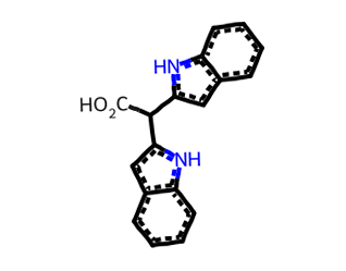 O=C(O)C(c1cc2ccccc2[nH]1)c1cc2ccccc2[nH]1